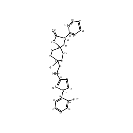 O=C1OC2(CCC(F)(CNc3ccn(-c4ccccc4F)n3)CC2)CN1c1ccccn1